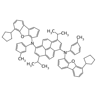 Cc1cccc(N(c2cc(C(C)C)c3ccc4c(N(c5cccc(C)c5)c5cccc6c5oc5c(C7CCCC7)cccc56)cc(C(C)C)c5ccc2c3c54)c2cccc3c2oc2c(C4CCCC4)cccc23)c1